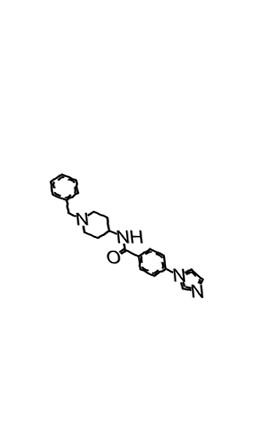 O=C(NC1CCN(Cc2ccccc2)CC1)c1ccc(-n2ccnc2)cc1